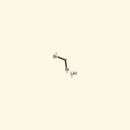 BrCBr.[LiH]